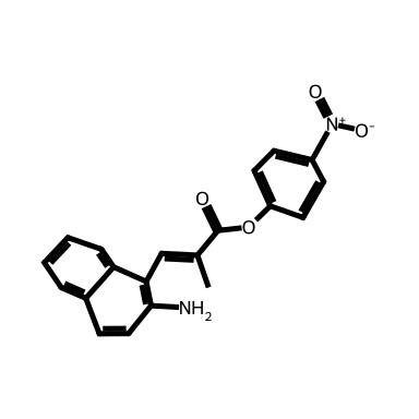 CC(=Cc1c(N)ccc2ccccc12)C(=O)Oc1ccc([N+](=O)[O-])cc1